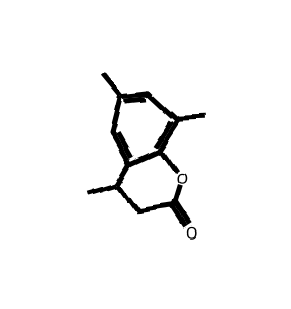 Cc1cc(C)c2c(c1)C(C)CC(=O)O2